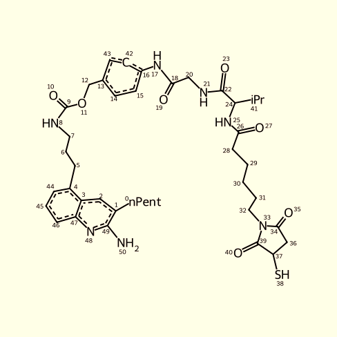 CCCCCc1cc2c(CCCNC(=O)OCc3ccc(NC(=O)CNC(=O)C(NC(=O)CCCCCN4C(=O)CC(S)C4=O)C(C)C)cc3)cccc2nc1N